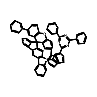 c1ccc(-c2ccc3c(c2)C2(c4cc(-c5ccccc5)ccc4O3)c3ccccc3-c3cc4c5ccccc5n(-c5cccc(-c6nc(-c7ccccc7)nc(-c7ccccc7)n6)c5)c4cc32)cc1